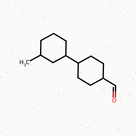 CC1CCCC(C2CCC(C=O)CC2)C1